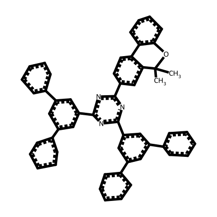 CC1(C)Oc2ccccc2-c2ccc(-c3nc(-c4cc(-c5ccccc5)cc(-c5ccccc5)c4)nc(-c4cc(-c5ccccc5)cc(-c5ccccc5)c4)n3)cc21